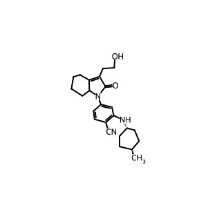 C[C@H]1CC[C@H](Nc2cc(N3C(=O)C(CCO)=C4CCCCC43)ccc2C#N)CC1